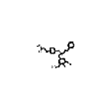 COC(=O)CCc1ccc(C[C@@H](CCCc2ccccc2)Cc2cc(CO)c(C)c(CO)c2)cc1